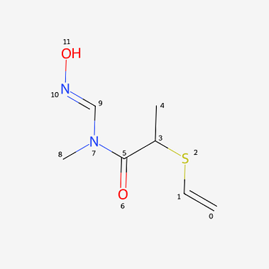 C=CSC(C)C(=O)N(C)C=NO